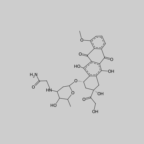 COc1cccc2c1C(=O)c1c(O)c3c(c(O)c1C2=O)C[C@@](O)(C(=O)CO)C[C@@H]3OC1CC(NCC(N)=O)C(O)C(C)O1